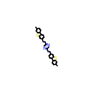 Cc1ccc2c(c1)sc1cc(/C=C/c3cnc(/C=C/c4ccc5c(c4)sc4cc(C)ccc45)cn3)ccc12